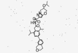 CC(C)OC1COc2cc(S(=O)(=O)NC(=O)Cc3c(C(C)C)cc(-c4ccc5c(c4)COCC5)cc3C(C)C)nn2C1